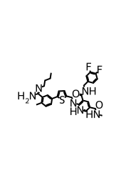 CCCC/N=C(/N)c1cc(-c2ccc(CNc3ncc(C(=O)NC)cc3C(=O)NCc3ccc(F)c(F)c3)s2)ccc1C